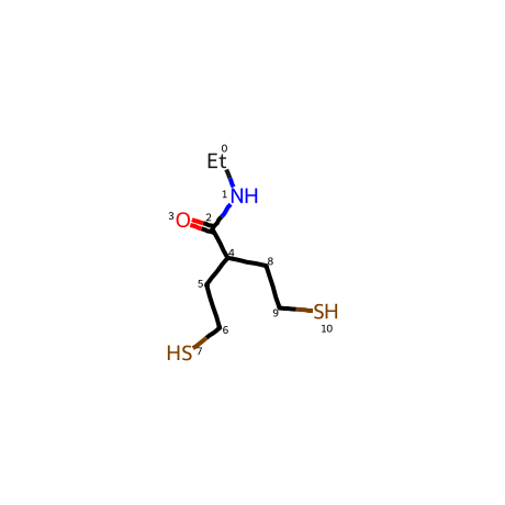 CCNC(=O)C(CCS)CCS